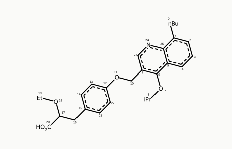 CCCCc1cccc2c(OC(C)C)c(COc3ccc(CC(OCC)C(=O)O)cc3)cnc12